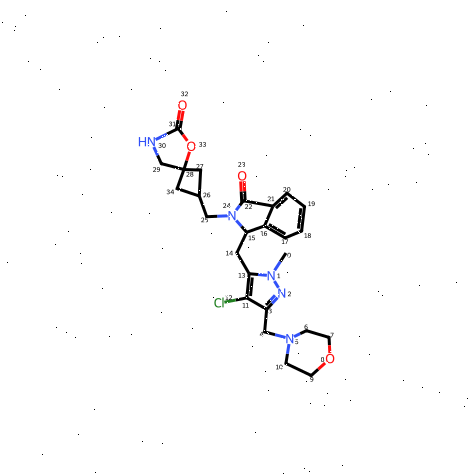 Cn1nc(CN2CCOCC2)c(Cl)c1CC1c2ccccc2C(=O)N1CC1CC2(CNC(=O)O2)C1